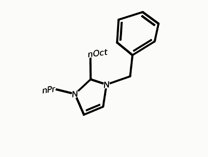 CCCCCCCCC1N(CCC)C=CN1Cc1ccccc1